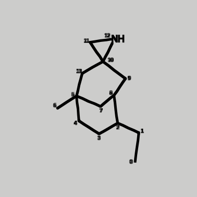 CCC1CCC2(C)CC1CC1(CN1)C2